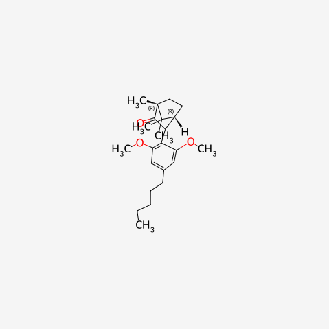 CCCCCc1cc(OC)c(C2C(=O)[C@]3(C)CC[C@H]2C3(C)C)c(OC)c1